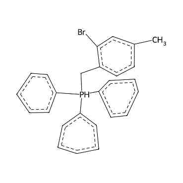 Cc1ccc(C[PH](c2ccccc2)(c2ccccc2)c2ccccc2)c(Br)c1